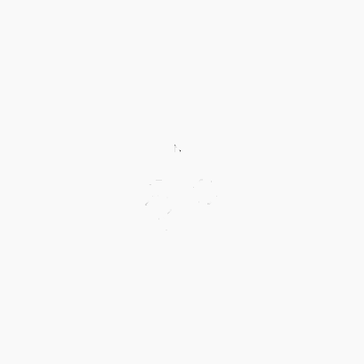 Cc1c(O)ccc(O)c1[C@H](CCN(C(C)C)C(C)C)c1ccccc1